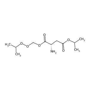 CC(C)OOCOC(=O)[C@@H](N)CC(=O)OC(C)C